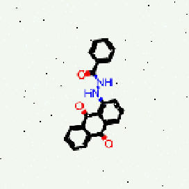 O=C(NNc1cccc2c1C(=O)c1ccccc1C2=O)c1ccccc1